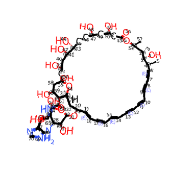 C[C@@H]1[C@H](O)[C@@H](C)/C=C/C=C/C=C/C=C/C=C/C=C/C=C/[C@H](OC2O[C@H](O)[C@@H](O)[C@H](N)[C@@H]2O)C[C@@H]2O[C@](O)(C[C@@H](O)C[C@@H](O)[C@H](O)CC[C@@H](O)C[C@@H](O)CC(=O)O[C@H]1C)C[C@H](O)[C@H]2C(=O)NCCc1c[nH]cn1